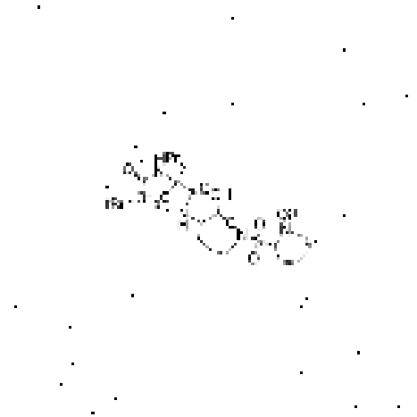 CC(C)CC(C)(NC(=O)OC(C)(C)C)C(=O)NC1CCCN(S(=O)(=O)C2C=CC=CN2O)CC1O